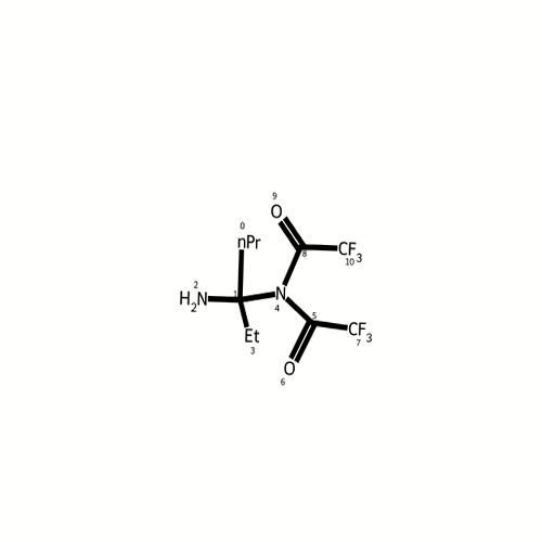 CCCC(N)(CC)N(C(=O)C(F)(F)F)C(=O)C(F)(F)F